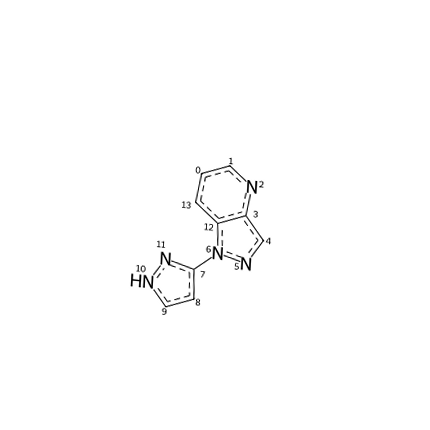 c1cnc2cnn(-c3cc[nH]n3)c2c1